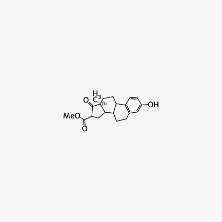 COC(=O)C1CC2C3CCc4cc(O)ccc4C3CC[C@]2(C)C1=O